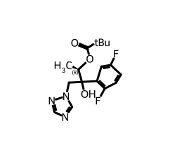 C[C@@H](OC(=O)C(C)(C)C)C(O)(Cn1cncn1)c1cc(F)ccc1F